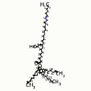 CCCCC/C=C/C/C=C/CCCCCCCCN(CCO)CCCCCCCC(=O)OCC(COCCCCCC)(COCCCCCC)COCCCCCC